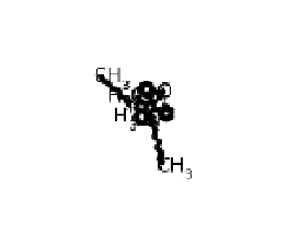 CCCCCCCCN1c2ccccc2C(C2(C3c4ccccc4N(CCCCCCCC)C3C)OC(=O)c3ccccc32)C1C